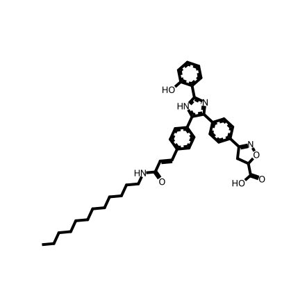 CCCCCCCCCCCCNC(=O)C=Cc1ccc(-c2[nH]c(-c3ccccc3O)nc2-c2ccc(C3=NOC(C(=O)O)C3)cc2)cc1